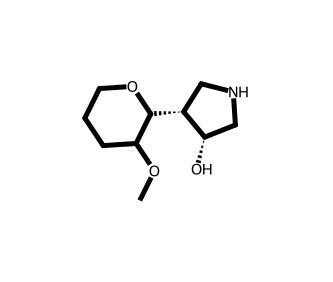 COC1CCCOC1[C@@H]1CNC[C@@H]1O